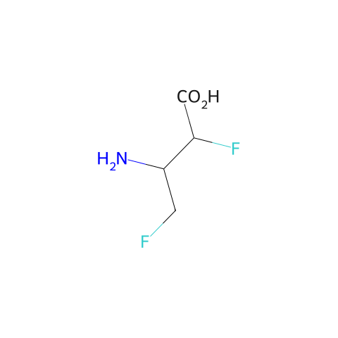 NC(CF)C(F)C(=O)O